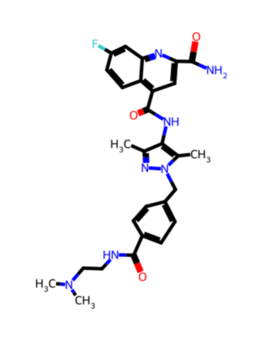 Cc1nn(Cc2ccc(C(=O)NCCN(C)C)cc2)c(C)c1NC(=O)c1cc(C(N)=O)nc2cc(F)ccc12